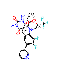 CC[C@@H]1O[C@H](C(F)(F)F)CN2c3c(cc(-c4cccnc4)c(F)c3F)CC3(C(=O)NC(=O)NC3=O)[C@@H]12